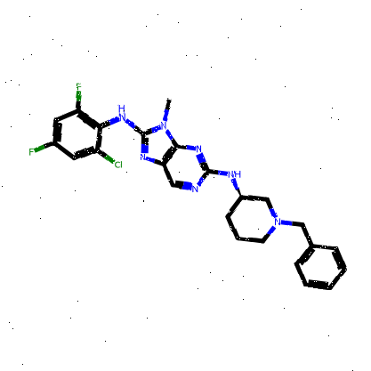 Cn1c(Nc2c(F)cc(F)cc2Cl)nc2cnc(N[C@@H]3CCCN(Cc4ccccc4)C3)nc21